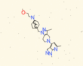 COCCN(C)C12CCC(Cn3nc(C)c4c3CCN(c3cc(C)nc5c3cnn5C)C4)(CC1)CC2